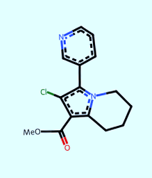 COC(=O)c1c(Cl)c(-c2cccnc2)n2c1CCCC2